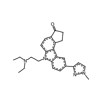 CCN(CC)CCn1c2ccc(-c3ccn(C)n3)cc2c2c3c(ccc21)C(=O)CC3